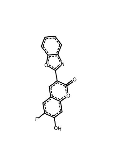 O=c1oc2cc(O)c(F)cc2cc1-c1nc2ccccc2o1